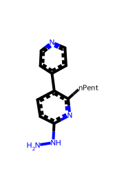 CCCCCc1nc(NN)ccc1-c1ccncc1